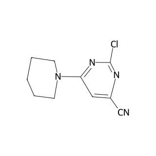 N#Cc1cc(N2CCCCC2)nc(Cl)n1